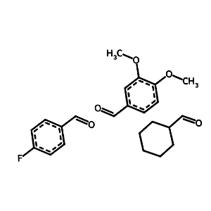 COc1ccc(C=O)cc1OC.O=CC1CCCCC1.O=Cc1ccc(F)cc1